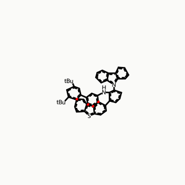 CC(C)(C)c1cc(-c2cccc(Nc3c(-c4ccc5sc6ccccc6c5c4)cccc3-n3c4ccccc4c4ccccc43)c2)cc(C(C)(C)C)c1